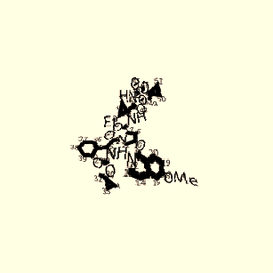 CC[C@@H]1C[C@]1(NC(=O)[C@@H]1C[C@@H](Oc2nccc3cc(OC)ccc23)CN1C(=O)[C@@H](NC(=O)OC1(C)CC1)C1CCCCC1)C(=O)NS(=O)(=O)OC1(C)CC1